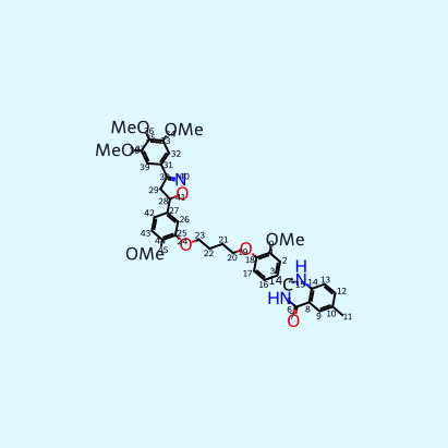 COc1cc([14CH]2NC(=O)c3cc(C)ccc3N2)ccc1OCCCCOc1cc(C2CC(c3cc(OC)c(OC)c(OC)c3)=NO2)ccc1OC